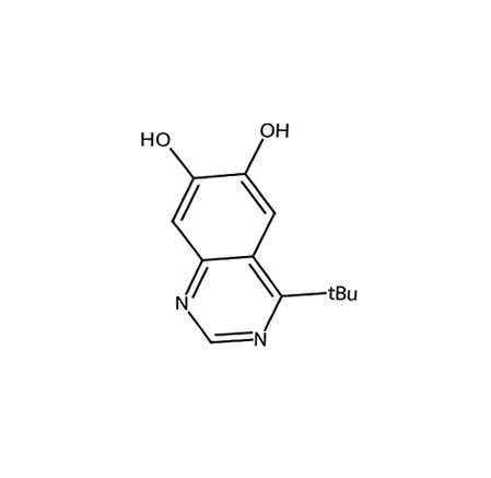 CC(C)(C)c1ncnc2cc(O)c(O)cc12